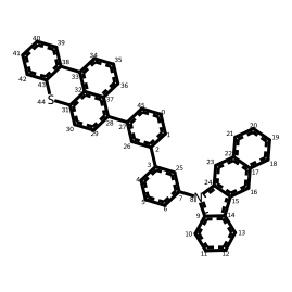 c1cc(-c2cccc(-n3c4ccccc4c4cc5ccccc5cc43)c2)cc(-c2ccc3c4c(cccc24)-c2ccccc2S3)c1